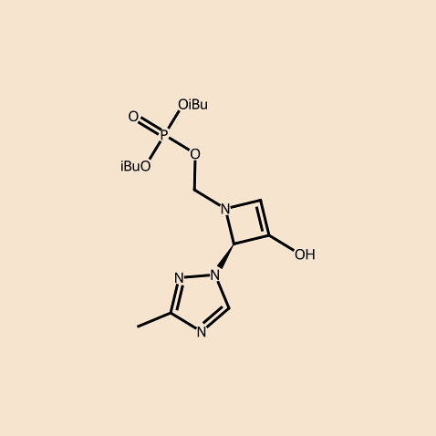 Cc1ncn([C@@H]2C(O)=CN2COP(=O)(OCC(C)C)OCC(C)C)n1